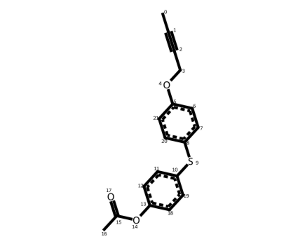 CC#CCOc1ccc(Sc2ccc(OC(C)=O)cc2)cc1